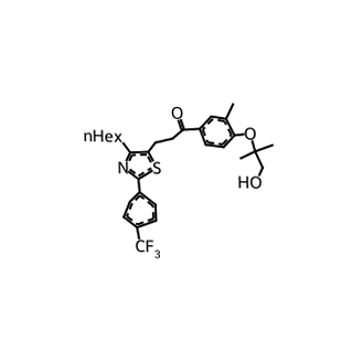 CCCCCCc1nc(-c2ccc(C(F)(F)F)cc2)sc1CCC(=O)c1ccc(OC(C)(C)CO)c(C)c1